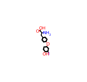 NC(Cc1ccc(Oc2ccc(O)c(I)c2)cc1)C(=O)O